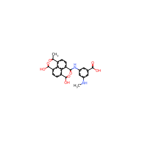 CNc1cc(NC(=O)c2ccc(C(C)=O)c3c(C(=O)O)ccc(C(=O)O)c23)cc(C(=O)O)c1